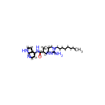 CCCCCCCCN(CC1CCC(C(=O)Nc2ccnc3[nH]ccc23)CC1)C(=N)N